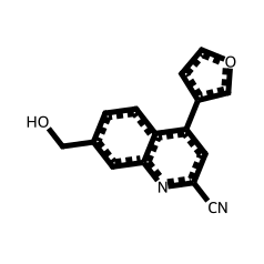 N#Cc1cc(-c2ccoc2)c2ccc(CO)cc2n1